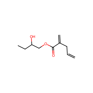 C=CCC(=C)C(=O)OCC(O)CC